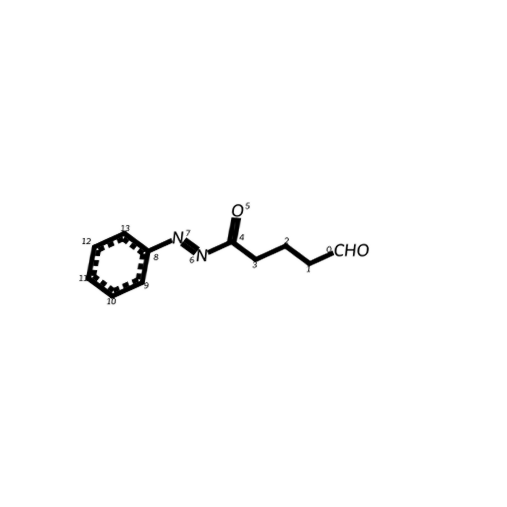 O=CCCCC(=O)N=Nc1ccccc1